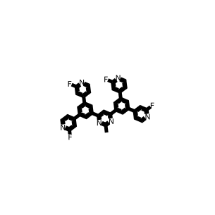 Cc1nc(-c2cc(-c3ccnc(F)c3)cc(-c3ccnc(F)c3)c2)cc(-c2cc(-c3ccnc(F)c3)cc(-c3ccnc(F)c3)c2)n1